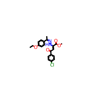 CCOc1ccc(/C(C)=N\N/C(=C\C(=O)c2ccc(Cl)cc2)C(=O)OC)cc1